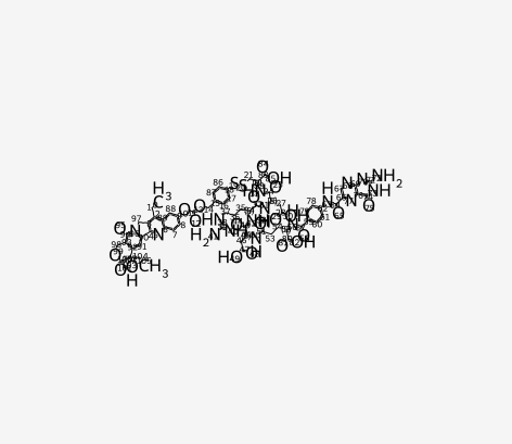 CCc1c2c(nc3ccc(OC(=O)OCc4ccc(SSC[C@H](NC(=O)[C@H](CC(=O)O)NC(=O)[C@H](CCCNC(=N)N)NC(=O)[C@H](CC(=O)O)NC(=O)CC[C@H](NC(=O)c5ccc(NC(=O)c6cnc7nc(N)[nH]c(=O)c7n6)cc5)C(=O)O)C(=O)O)cc4)cc13)-c1cc3c(c(=O)n1C2)COC(=O)[C@]3(O)CC